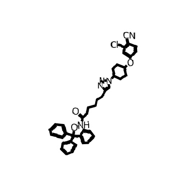 N#Cc1ccc(OC2CCC(n3cc(CCCCCC(=O)NOC(c4ccccc4)(c4ccccc4)c4ccccc4)nn3)CC2)cc1Cl